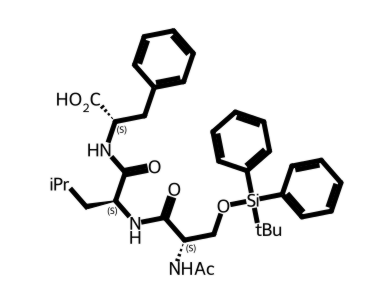 CC(=O)N[C@@H](CO[Si](c1ccccc1)(c1ccccc1)C(C)(C)C)C(=O)N[C@@H](CC(C)C)C(=O)N[C@@H](Cc1ccccc1)C(=O)O